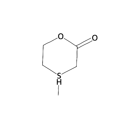 C[SH]1CCOC(=O)C1